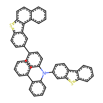 c1ccc(-c2ccccc2N(c2ccc(-c3ccc4sc5ccc6ccccc6c5c4c3)cc2)c2ccc3c(c2)sc2ccccc23)cc1